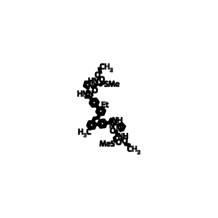 C=CCOC(=O)N[C@@H](CCSC)C(=O)N1CCC[C@H]1c1nc(-c2ccc(-c3cc(CCc4ccc(C)cc4-c4ccc(-c5c[nH]c([C@@H]6CCCN6C(=O)[C@H](CCSC)NC(=O)OCC=C)n5)cc4)ccc3CC)cc2)c[nH]1